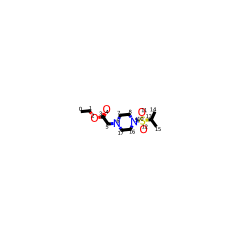 CCOC(=O)CN1CCN(S(=O)(=O)C(C)C)CC1